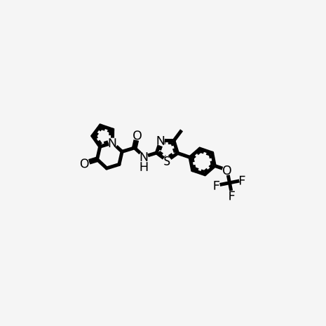 Cc1nc(NC(=O)C2CCC(=O)c3cccn32)sc1-c1ccc(OC(F)(F)F)cc1